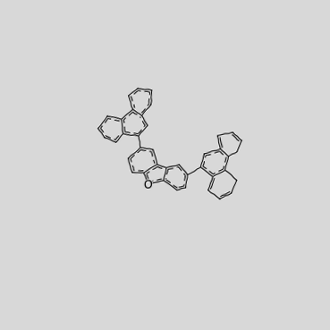 C1=CCc2c3c(c(-c4ccc5oc6ccc(-c7cc8ccccc8c8ccccc78)cc6c5c4)cc2=C1)=CC=CC3